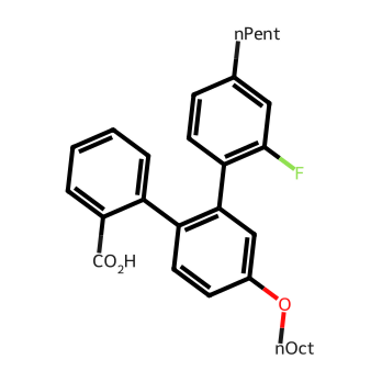 CCCCCCCCOc1ccc(-c2ccccc2C(=O)O)c(-c2ccc(CCCCC)cc2F)c1